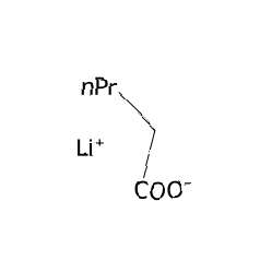 CCCCC(=O)[O-].[Li+]